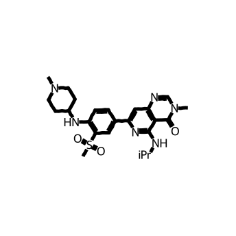 CC(C)Nc1nc(-c2ccc(NC3CCN(C)CC3)c(S(C)(=O)=O)c2)cc2ncn(C)c(=O)c12